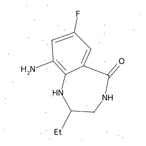 CCC1CNC(=O)c2cc(F)cc(N)c2N1